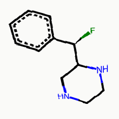 F[C@H](c1ccccc1)C1CNCCN1